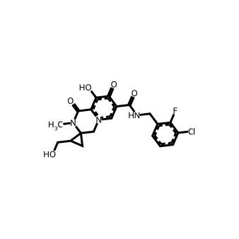 CN1C(=O)c2c(O)c(=O)c(C(=O)NCc3cccc(Cl)c3F)cn2CC12CC2CO